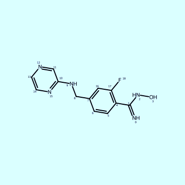 N=C(NO)c1ccc(CNc2cnccn2)cc1F